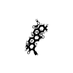 C#CC1=C[C@]2(C)C3=CC(=O)[C@@H]4[C@@H]5CC(C)(C)CC[C@]5(C(=O)OC)CC[C@@]4(C)[C@]3(C)CC[C@H]2C(C)(C)C1=O